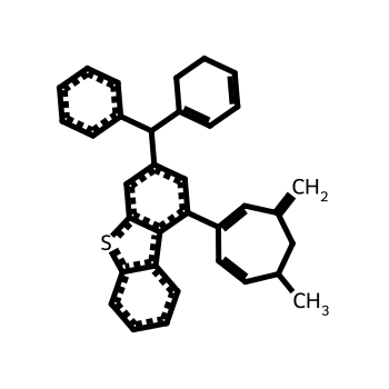 C=C1C=C(c2cc(C(C3=CC=CCC3)c3ccccc3)cc3sc4ccccc4c23)C=CC(C)C1